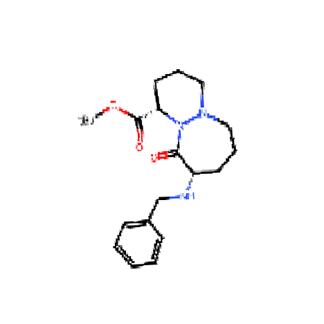 CC(C)(C)OC(=O)[C@@H]1CCCN2CCC[C@H](NCc3ccccc3)C(=O)N12